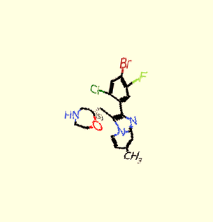 Cc1ccn2c(C[C@H]3CNCCO3)c(-c3cc(F)c(Br)cc3Cl)nc2c1